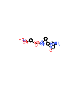 C=C(C)/N=C1\C(=C(\C)N)CCC(=O)N1Cc1ccc(-c2ccccc2-c2nnn(COC(=O)OCc3cccc(CON(O)O)c3)n2)cc1